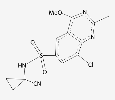 COc1nc(C)nc2c(Cl)cc(S(=O)(=O)NC3(C#N)CC3)cc12